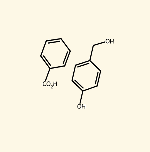 O=C(O)c1ccccc1.OCc1ccc(O)cc1